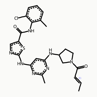 C/C=C/C(=O)N1CCC(Nc2cc(Nc3ncc(C(=O)Nc4c(C)cccc4Cl)s3)nc(C)n2)C1